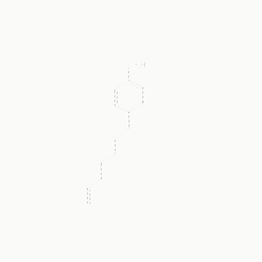 C=CCCCCCc1ccc(S(=O)(=O)O)cc1